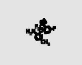 Cc1ccc(N)c(Oc2ccc(F)cc2C2(C(F)(F)F)CCO2)n1